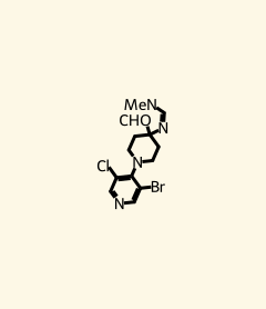 CN/C=N\C1(C=O)CCN(c2c(Cl)cncc2Br)CC1